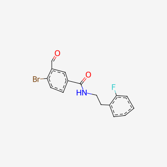 O=Cc1cc(C(=O)NCCc2ccccc2F)ccc1Br